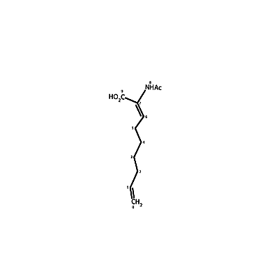 C=CCCCCC=C(NC(C)=O)C(=O)O